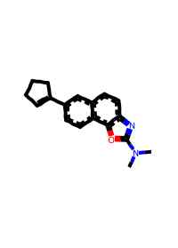 CN(C)c1nc2ccc3cc(C4=CCCC4)ccc3c2o1